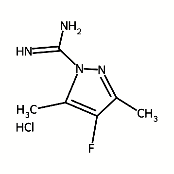 Cc1nn(C(=N)N)c(C)c1F.Cl